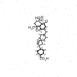 CC1(C)CCS(O)(O)c2c(Cl)cc(CN3CCC4(CC3)CC(c3ccc(C(=O)O)cc3)=NO4)cc21